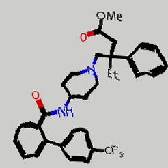 CCC(CC(=O)OC)(CN1CCC(NC(=O)c2ccccc2-c2ccc(C(F)(F)F)cc2)CC1)c1ccccc1